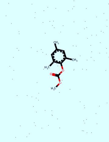 COC(=O)Oc1c(C)cc(C)cc1C